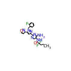 CCCC(F)(F)C(=O)Nc1cnc(-c2cc(-c3ccon3)n(Cc3ccccc3F)n2)nc1N